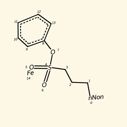 CCCCCCCCCCCCS(=O)(=O)Oc1ccccc1.[Fe]